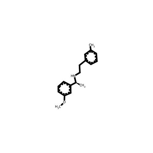 COc1cccc([C@H](C)NCCc2cccc(C)c2)c1